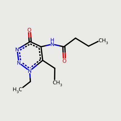 CCCC(=O)Nc1c(CC)n(CC)nnc1=O